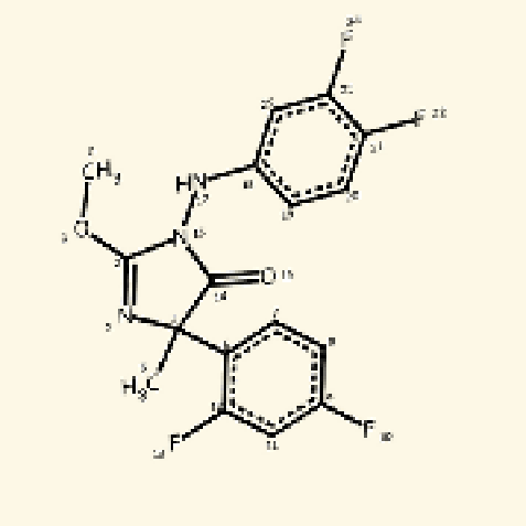 COC1=NC(C)(c2ccc(F)cc2F)C(=O)N1Nc1ccc(F)c(F)c1